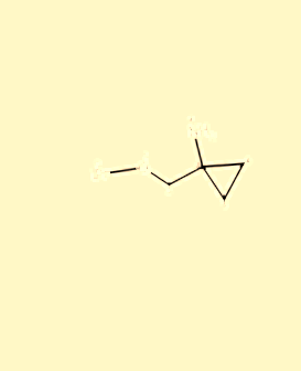 CC(C)OCC1(N)CC1